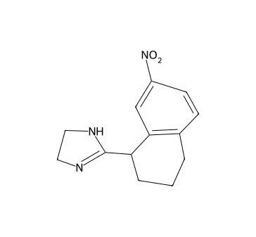 O=[N+]([O-])c1ccc2c(c1)C(C1=NCCN1)CCC2